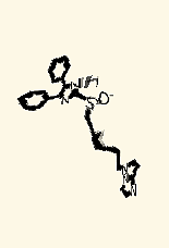 [O-][S+](CCCCCn1ccc2nccn21)c1nc(-c2ccccc2)c(-c2ccccc2)[nH]1